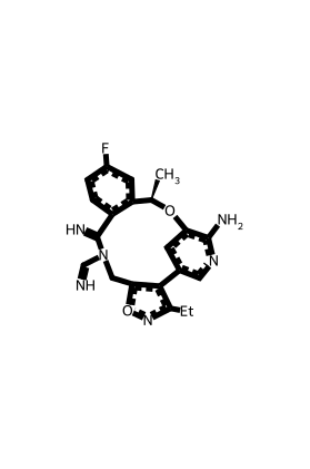 CCc1noc2c1-c1cnc(N)c(c1)O[C@H](C)c1cc(F)ccc1C(=N)N(C=N)C2